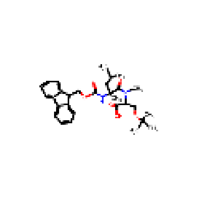 CC(C)CC(C)(NC(=O)OCC1c2ccccc2-c2ccccc21)C(=O)N(C)C(COC(C)(C)C)C(=O)O